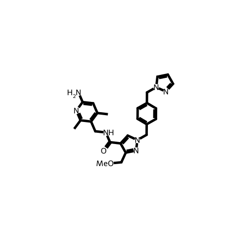 COCc1nn(Cc2ccc(Cn3cccn3)cc2)cc1C(=O)NCc1c(C)cc(N)nc1C